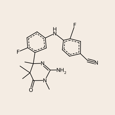 CN1C(=O)C(C)(C)C(C)(c2cc(Nc3ccc(C#N)cc3F)ccc2F)N=C1N